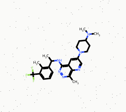 Cc1c(C(C)Nc2nnc(C)c3ncc(N4CCC(N(C)C)CC4)cc23)cccc1C(F)(F)F